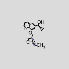 C=C/C(COc1cc(C(O)=C2CC2)cc2cccnc12)=N\C=C/C